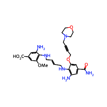 COc1cc(C(=O)O)cc(N)c1NC/C=C/CNc1c(N)cc(C(N)=O)cc1OCC#CCN1CCOCC1